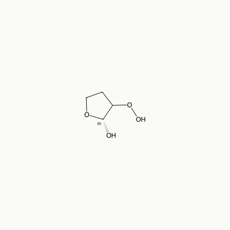 OOC1CCO[C@H]1O